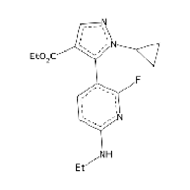 CCNc1ccc(-c2c(C(=O)OCC)cnn2C2CC2)c(F)n1